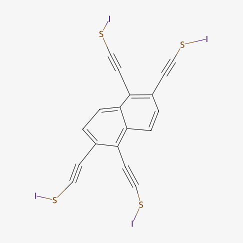 ISC#Cc1ccc2c(C#CSI)c(C#CSI)ccc2c1C#CSI